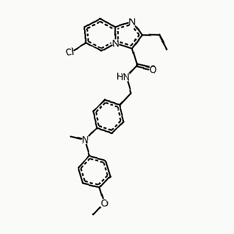 CCc1nc2ccc(Cl)cn2c1C(=O)NCc1ccc(N(C)c2ccc(OC)cc2)cc1